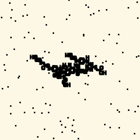 Nc1c(N=Nc2cc(Nc3nc(Cl)nc(SCC(=O)O)n3)ccc2SOOO)c(S(=O)(=O)O)cc2cc(SOOO)c(N=Nc3ccc(SOC(=O)CSOOO)cc3S(=O)(=O)O)c(O)c12